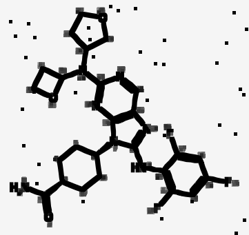 NC(=O)[C@H]1CC[C@@H](n2c(Nc3c(F)cc(F)cc3F)nc3cnc(N(C4CCOC4)C4CCO4)nc32)CC1